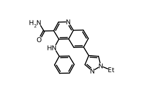 CCn1cc(-c2ccc3ncc(C(N)=O)c(Nc4ccccc4)c3c2)cn1